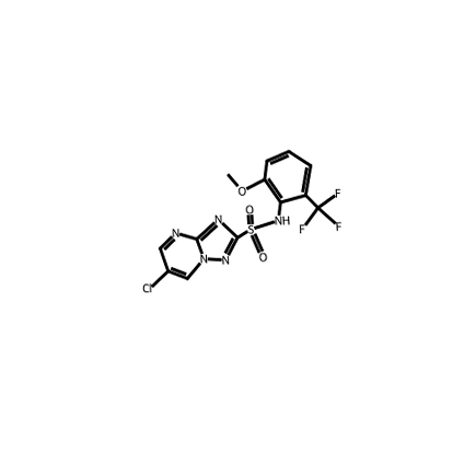 COc1cccc(C(F)(F)F)c1NS(=O)(=O)c1nc2ncc(Cl)cn2n1